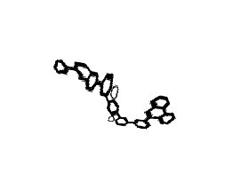 C1=CC2Oc3cc4c(cc3C2C=C1c1cccc(-c2cc3ccccc3c3ccccc23)c1)oc1ccc(-c2ccc3cc(-c5ccccc5)ccc3c2)cc14